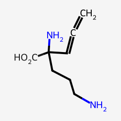 C=C=CC(N)(CCCN)C(=O)O